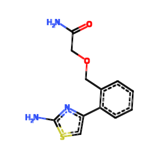 NC(=O)COCc1ccccc1-c1csc(N)n1